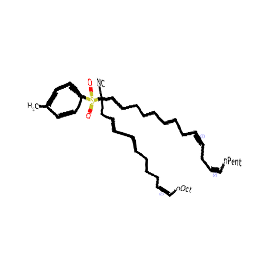 [C-]#[N+]C(CCCCCCCC/C=C\C/C=C\CCCCC)(CCCCCCCC/C=C\CCCCCCCC)S(=O)(=O)c1ccc(C)cc1